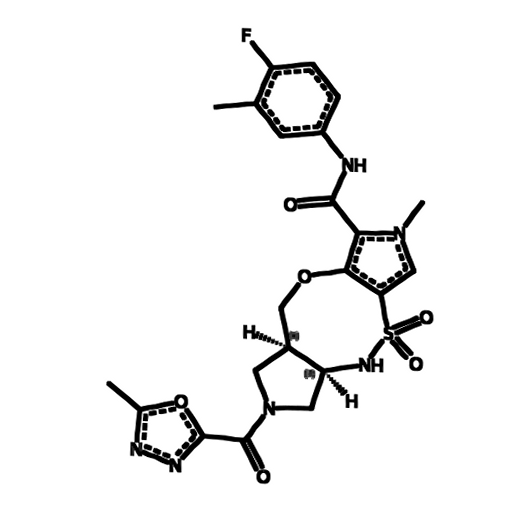 Cc1nnc(C(=O)N2C[C@H]3COc4c(cn(C)c4C(=O)Nc4ccc(F)c(C)c4)S(=O)(=O)N[C@H]3C2)o1